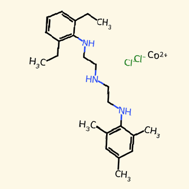 CCc1cccc(CC)c1NCCNCCNc1c(C)cc(C)cc1C.[Cl-].[Cl-].[Co+2]